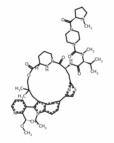 CCn1c(-c2cccnc2[C@H](C)OC)c2c3cc(ccc31)-c1csc(n1)C[C@H](NC(=O)[C@H](C(C)C)N(C)C(=O)N1CCN(C(=O)[C@H]3CCCN3C)CC1)C(=O)N1CCC[C@H](N1)C(=O)OCC(C)(C)C2